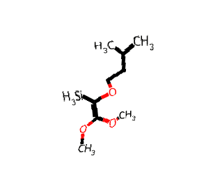 COC(OC)=C([SiH3])OCCC(C)C